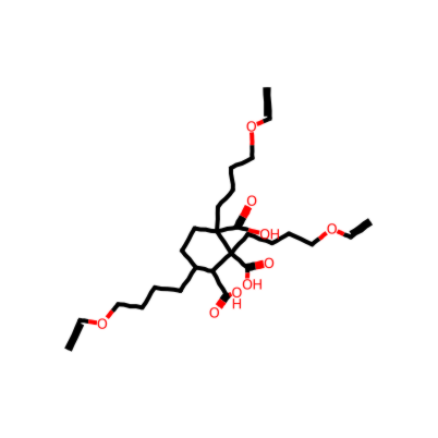 C=COCCCCC1CCC(CCCCOC=C)(C(=O)O)C(CCCCOC=C)(C(=O)O)C1C(=O)O